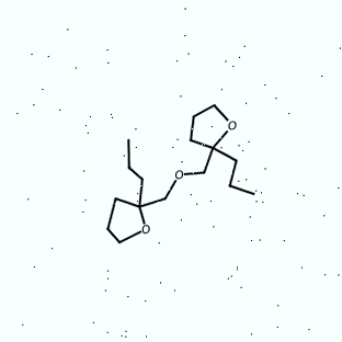 CCCC1(COCC2(CCC)CCCO2)CCCO1